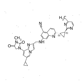 Cc1ccnc([C@H]2C[C@@H]2c2ccc3c(C#N)cc(NCc4cn5cc(C6CC6)cc(N6CC(=O)N(C)C6=O)c5n4)cc3n2)n1